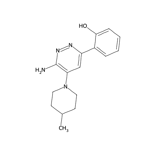 CC1CCN(c2cc(-c3ccccc3O)nnc2N)CC1